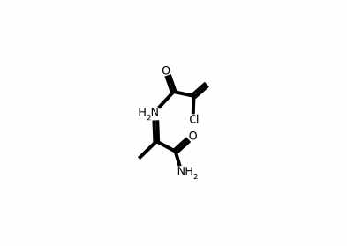 C=C(C)C(N)=O.C=C(Cl)C(N)=O